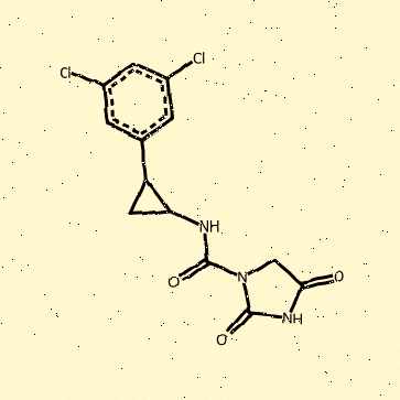 O=C1CN(C(=O)NC2CC2c2cc(Cl)cc(Cl)c2)C(=O)N1